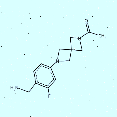 CC(=O)N1CC2(C1)CN(c1ccc(CN)c(F)c1)C2